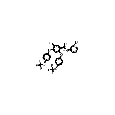 O=C(Nc1ccc[n+]([O-])c1)c1cc(Cl)c(Oc2ccc(OC(F)(F)F)cc2)cc1Oc1ccc(OC(F)(F)F)cc1